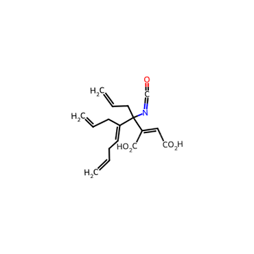 C=CCC=C(CC=C)C(CC=C)(N=C=O)/C(=C/C(=O)O)C(=O)O